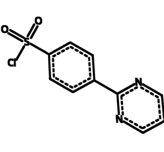 O=S(=O)(Cl)c1ccc(-c2ncccn2)cc1